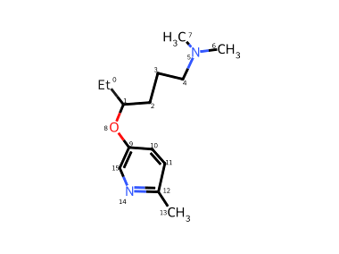 CCC(CCCN(C)C)Oc1ccc(C)nc1